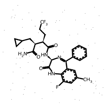 Cc1cc(F)c2c(c1)C(c1ccccc1)=N[C@H](NC(=O)[C@H](CCC(F)(F)F)[C@H](CC1CC1)C(N)=O)C(=O)N2